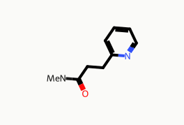 CNC(=O)CCc1ccccn1